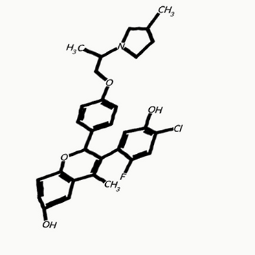 CC1=C(c2cc(O)c(Cl)cc2F)C(c2ccc(OCC(C)N3CCC(C)C3)cc2)Oc2ccc(O)cc21